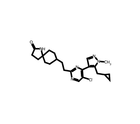 Cn1ncc(-c2nc(CCC3CCC4(CCC(=O)N4)CC3)ncc2Cl)c1CC1CC1